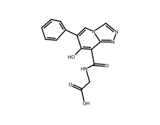 O=C(O)CNC(=O)c1c(O)c(-c2ccccc2)cn2cnnc12